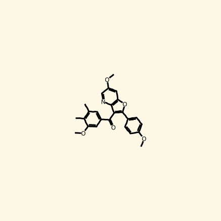 COc1ccc(-c2oc3cc(OC)cnc3c2C(=O)c2cc(C)c(C)c(OC)c2)cc1